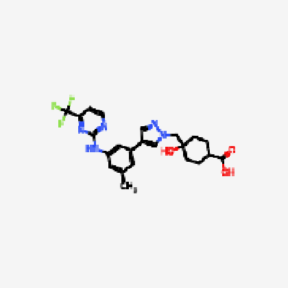 Cc1cc(Nc2nccc(C(F)(F)F)n2)cc(-c2cnn(CC3(O)CCC(C(=O)O)CC3)c2)c1